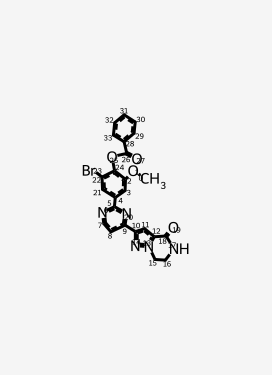 COc1cc(-c2nccc(-c3cc4n(n3)CCNC4=O)n2)cc(Br)c1OC(=O)c1ccccc1